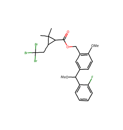 COc1ccc(C(OC)c2ccccc2F)cc1COC(=O)C1C(CC(Br)(Br)Br)C1(C)C